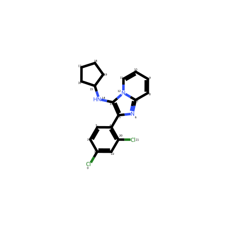 Clc1ccc(-c2nc3ccccn3c2NC2CCCC2)c(Cl)c1